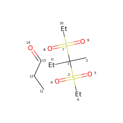 CCC(C)(S(=O)(=O)CC)S(=O)(=O)CC.CCC=O